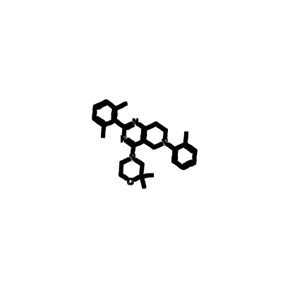 Cc1ccccc1N1CCc2nc(-c3c(C)cccc3C)nc(N3CCOC(C)(C)C3)c2C1